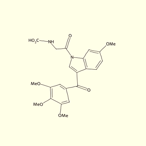 COc1ccc2c(C(=O)c3cc(OC)c(OC)c(OC)c3)cn(C(=O)CNC(=O)O)c2c1